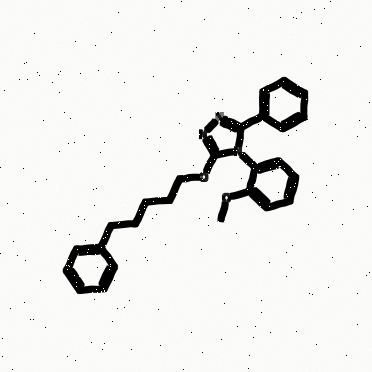 COc1ccccc1-n1c(OCCCCCc2ccccc2)nnc1-c1ccccc1